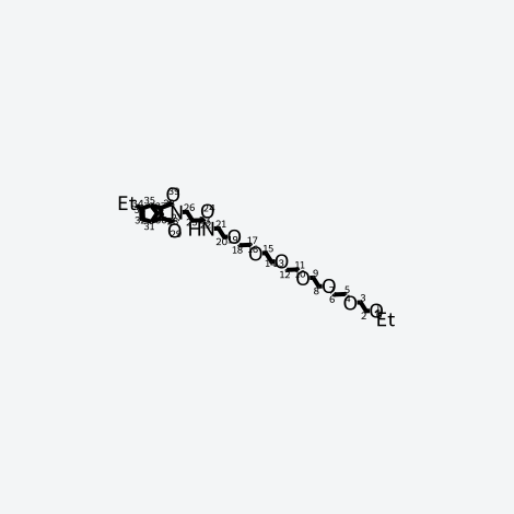 CCOCCOCCOCCOCCOCCOCCOCCNC(=O)CCN1C(=O)C2C3C=C(CC)C(C3)C2C1=O